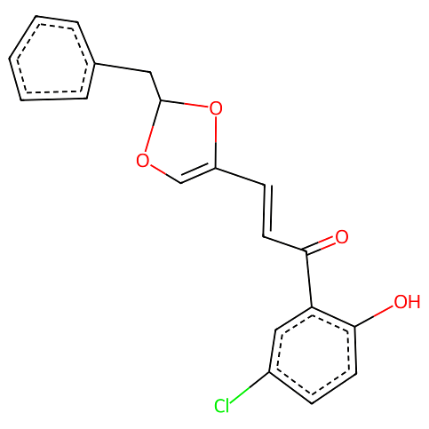 O=C(C=CC1=COC(Cc2ccccc2)O1)c1cc(Cl)ccc1O